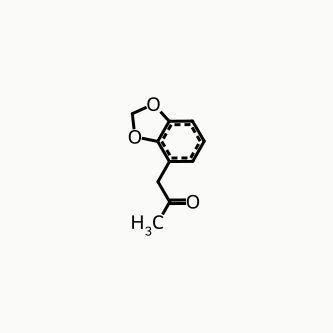 CC(=O)Cc1cccc2c1OCO2